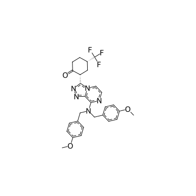 COc1ccc(CN(Cc2ccc(OC)cc2)c2nccn3c([C@H]4C[C@@H](C(F)(F)F)CCC4=O)nnc23)cc1